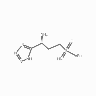 CCCCS(=N)(=O)CC[C@H](N)c1nnn[nH]1